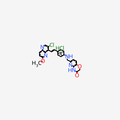 COc1ccc2ncc(Cl)c(C=CC34CCC(NCc5ccc6c(n5)NC(=O)CO6)(CC3)CC4)c2n1.Cl